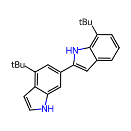 CC(C)(C)c1cc(-c2cc3cccc(C(C)(C)C)c3[nH]2)cc2[nH]ccc12